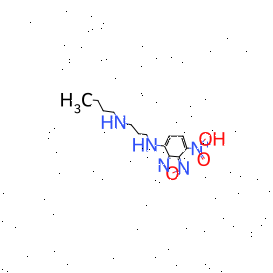 CCCCNCCCNc1ccc([N+](=O)O)c2nonc12